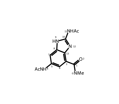 CNC(=O)c1cc(NC(C)=O)cc2[nH]c(NC(C)=O)nc12